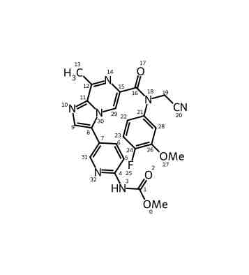 COC(=O)Nc1ccc(-c2cnc3c(C)nc(C(=O)N(CC#N)c4ccc(F)c(OC)c4)cn23)cn1